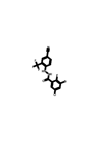 N#Cc1ccc(NNC(=O)c2cc(Cl)cc(Br)c2F)c(C(F)(F)F)c1